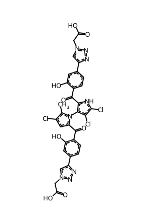 Cc1c(Cl)cc(C(=O)c2ccc(-c3cn(CC(=O)O)nn3)cc2O)n1-c1c(C(=O)c2ccc(-c3cn(CC(=O)O)nn3)cc2O)[nH]c(Cl)c1Cl